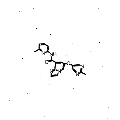 Cc1cccc(NC(=O)c2cc(Oc3cnc(C)nc3)cn3ccnc23)n1